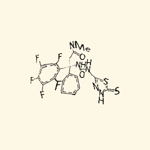 CNC(=O)C[C@](NC(=O)Nc1n[nH]c(=S)s1)(c1ccccc1)c1c(F)c(F)c(F)c(F)c1F